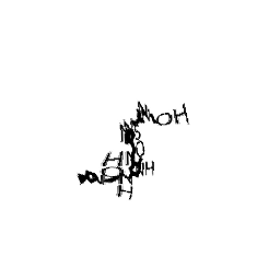 CC1NC=C(NC(=O)CN2CCC3(CC3)C2)C=C1NC(=O)c1cnn2cc(-c3cnn(CCO)c3)sc12